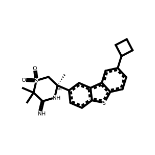 CC1(C)C(=N)N[C@](C)(c2ccc3sc4ccc(C5CCC5)cc4c3c2)CS1(=O)=O